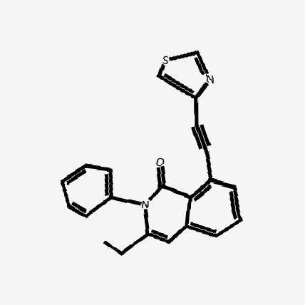 CCc1cc2cccc(C#Cc3cscn3)c2c(=O)n1-c1ccccc1